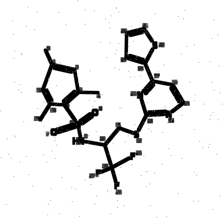 Cc1cc(C)c(S(=O)(=O)NC(CSc2nccc(-c3cccs3)n2)C(F)(F)F)c(C)c1